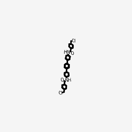 O=C(Nc1ccc(-c2ccc(-c3ccc(NC(=O)c4ccc(CCl)cc4)cc3)cc2)cc1)c1ccc(CCl)cc1